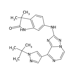 CC1(C)C(=O)Nc2cc(Nc3nc4c(-c5cnn(C(C)(C)C)c5)nccn4n3)ccc21